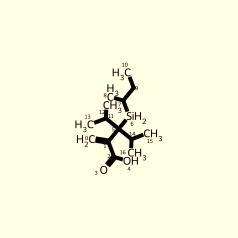 C=C(C(=O)O)C([SiH2]C(C)CC)(C(C)C)C(C)C